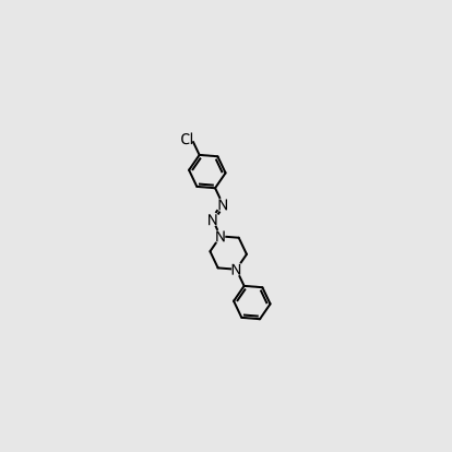 Clc1ccc(N=NN2CCN(c3ccccc3)CC2)cc1